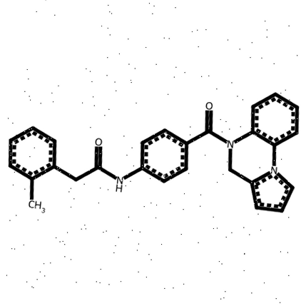 Cc1ccccc1CC(=O)Nc1ccc(C(=O)N2Cc3cccn3-c3ccccc32)cc1